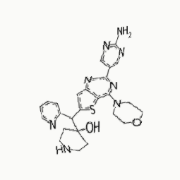 Nc1ncc(-c2nc(N3CCOCC3)c3sc(C(c4ccccn4)C4(O)CCNCC4)cc3n2)cn1